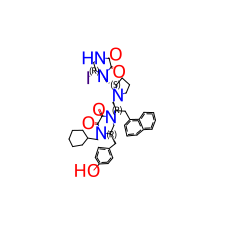 O=C1NC[C@@H](I)N(C[C@@H]2CCCN2C[C@@H](Cc2cccc3ccccc23)N2C[C@@H](Cc3ccc(O)cc3)N(CC3CCCCC3)C(=O)C2=O)C1=O